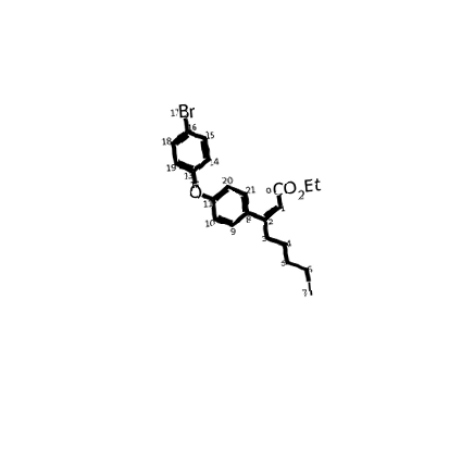 CCOC(=O)/C=C(/CCCCI)c1ccc(Oc2ccc(Br)cc2)cc1